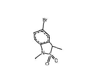 CC1c2cc(Br)ccc2N(C)S1(=O)=O